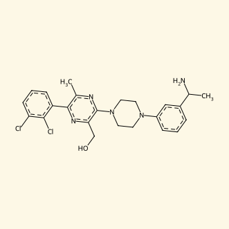 Cc1nc(N2CCN(c3cccc(C(C)N)c3)CC2)c(CO)nc1-c1cccc(Cl)c1Cl